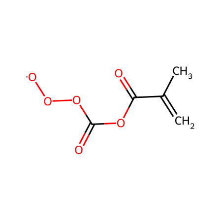 C=C(C)C(=O)OC(=O)OO[O]